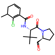 CC1CC=CC(C(=O)N[C@H](C(=O)N2CCC[C@H]2C=O)C(C)(C)C)=C1Cl